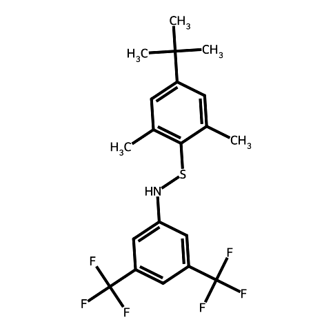 Cc1cc(C(C)(C)C)cc(C)c1SNc1cc(C(F)(F)F)cc(C(F)(F)F)c1